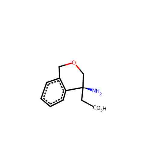 N[C@]1(CC(=O)O)COCc2ccccc21